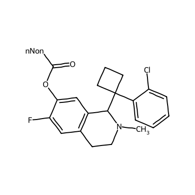 CCCCCCCCCC(=O)Oc1cc2c(cc1F)CCN(C)C2C1(c2ccccc2Cl)CCC1